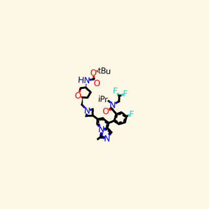 Cc1ncc2c(-c3ccc(F)cc3C(=O)N(CC(F)F)C(C)C)cc(C3CN(C[C@@H]4CC[C@@H](NC(=O)OC(C)(C)C)CO4)C3)cn12